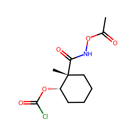 CC(=O)ONC(=O)[C@]1(C)CCCC[C@@H]1OC(=O)Cl